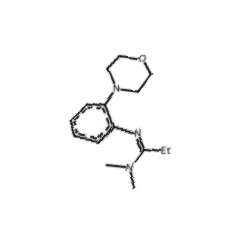 CC/C(=N/c1ccccc1N1CCOCC1)N(C)C